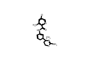 C[C@@]1(C2C=C(NC(=O)c3ncc(Cl)cc3N)C=CC2)CCSC(N)=N1